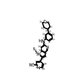 N#Cc1cc(-c2cc3cnc(Nc4cccc(C5CCOCC5)c4)cc3n2SF)ccn1